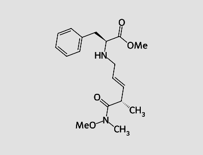 COC(=O)[C@H](Cc1ccccc1)NC/C=C/[C@H](C)C(=O)N(C)OC